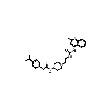 Cc1cc(NC(=O)NCCN2CCC(NC(=O)Nc3ccc(C(C)C)cc3)CC2)c2ccccc2n1